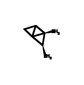 B[C@@H]1C23CC2[C@@]13B